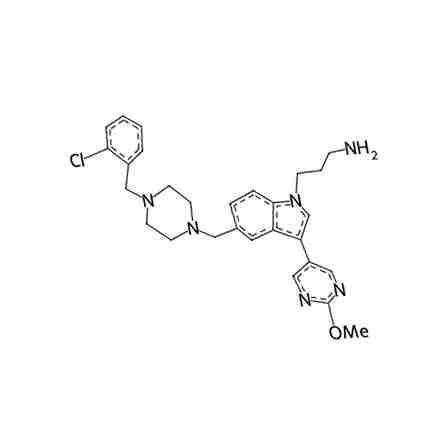 COc1ncc(-c2cn(CCCN)c3ccc(CN4CCN(Cc5ccccc5Cl)CC4)cc23)cn1